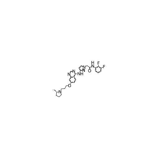 [CH2][C@@H]1CCCN1CCCOc1ccc2c(Nc3ccn(CC(=O)Nc4cccc(F)c4F)n3)ncnc2c1